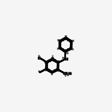 CCOC(=O)c1cc(C)c(Cl)nc1Nc1ccccc1